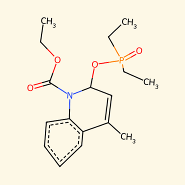 CCOC(=O)N1c2ccccc2C(C)=CC1OP(=O)(CC)CC